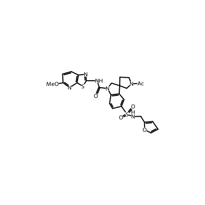 COc1ccc2nc(NC(=O)N3CC4(CCN(C(C)=O)C4)c4cc(S(=O)(=O)NCc5ccco5)ccc43)sc2n1